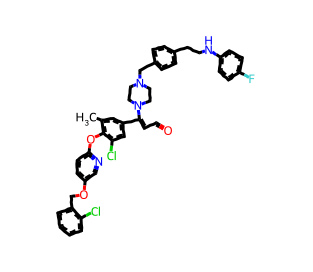 Cc1cc(C(=CC=O)N2CCN(Cc3ccc(CCNc4ccc(F)cc4)cc3)CC2)cc(Cl)c1Oc1ccc(OCc2ccccc2Cl)cn1